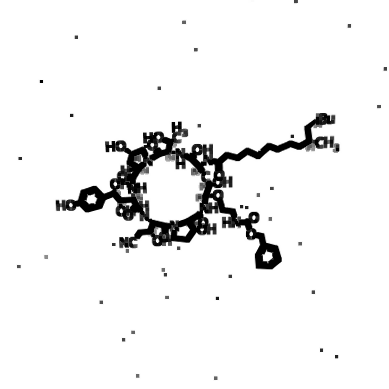 CC[C@H](C)C[C@H](C)CCCCCCCCC(=O)N[C@H]1C[C@@H](O)[C@@H](OCCNC(=O)OCc2ccccc2)NC(=O)[C@@H]2[C@@H](O)CCN2C(=O)[C@H]([C@H](O)CC#N)NC(=O)[C@H]([C@H](O)[C@@H](O)c2ccc(O)cc2)NC(=O)[C@@H]2C[C@@H](O)CN2C(=O)[C@H]([C@@H](C)O)NC1=O